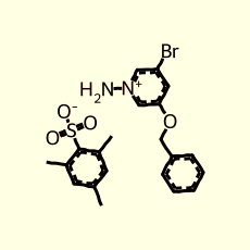 Cc1cc(C)c(S(=O)(=O)[O-])c(C)c1.N[n+]1cc(Br)cc(OCc2ccccc2)c1